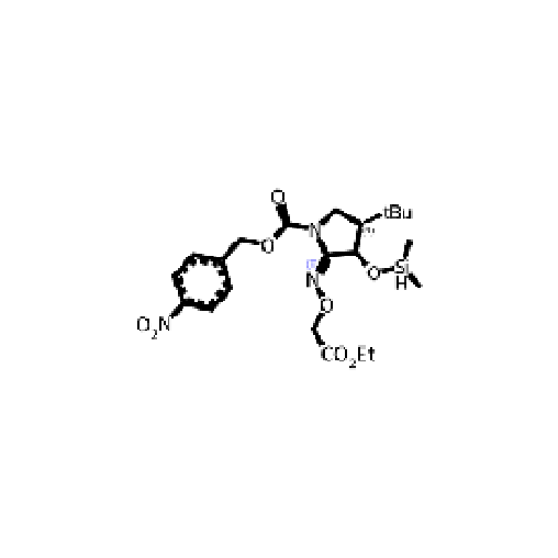 CCOC(=O)CO/N=C1\C(O[SiH](C)C)[C@H](C(C)(C)C)CN1C(=O)OCc1ccc([N+](=O)[O-])cc1